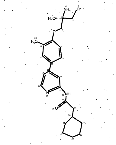 CC(C)C[C@](C)(N)COc1ccc(-c2ccnc(NC(=O)CC3CCCCC3)c2)cc1C(F)(F)F